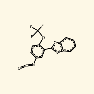 O=C=Nc1ccc(OC(F)(F)F)c(-c2nc3ccccc3o2)c1